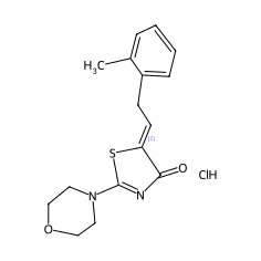 Cc1ccccc1C/C=C1\SC(N2CCOCC2)=NC1=O.Cl